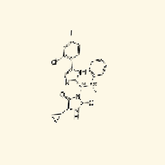 C[C@@H](c1ccccc1)[C@@H](c1ncc(-c2ccc(I)cc2Cl)[nH]1)N1C(=O)NC(C2CC2)C1=O